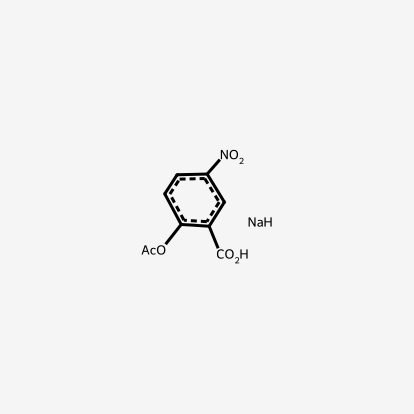 CC(=O)Oc1ccc([N+](=O)[O-])cc1C(=O)O.[NaH]